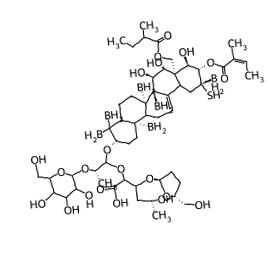 BC1(B)C2CC[C@]3(B)C(CC=C4C5C[C@@](B)(S)[C@@H](OC(=O)/C(C)=C\C)[C@H](O)[C@]5(COC(=O)C(C)CC)[C@H](O)[C@H](O)[C@]43B)[C@@]2(B)CC[C@@H]1OC(OC(C(=O)O)C(C[C@@H](C)O)O[C@H]1CC[C@H](CO)O1)[C@H](C)OC1OC(CO)C(O)C(O)C1O